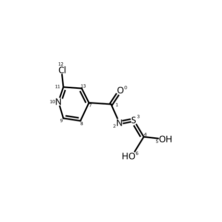 O=C(N=S=C(O)O)c1ccnc(Cl)c1